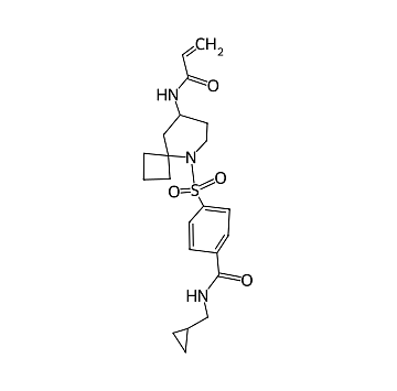 C=CC(=O)NC1CCN(S(=O)(=O)c2ccc(C(=O)NCC3CC3)cc2)C2(CCC2)C1